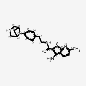 Cc1ccc2c(N)c(C(=O)NCCc3ccc(N4C5CNCC4C5)cc3)sc2n1